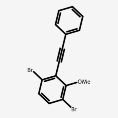 COc1c(Br)ccc(Br)c1C#Cc1ccccc1